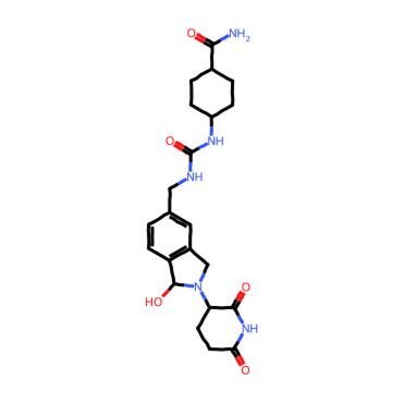 NC(=O)C1CCC(NC(=O)NCc2ccc3c(c2)CN(C2CCC(=O)NC2=O)C3O)CC1